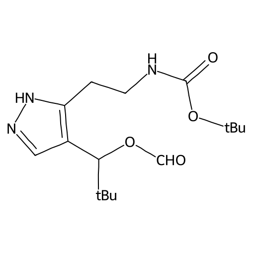 CC(C)(C)OC(=O)NCCc1[nH]ncc1C(OC=O)C(C)(C)C